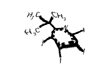 CC(C)(C)c1nc(I)c(I)c(I)c1I